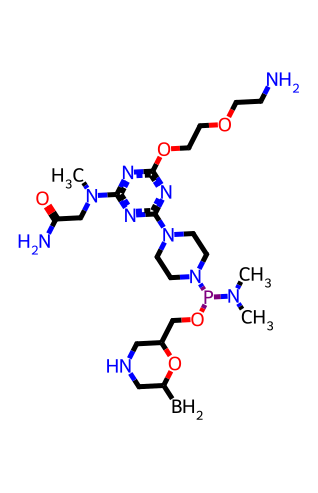 BC1CNCC(COP(N(C)C)N2CCN(c3nc(OCCOCCN)nc(N(C)CC(N)=O)n3)CC2)O1